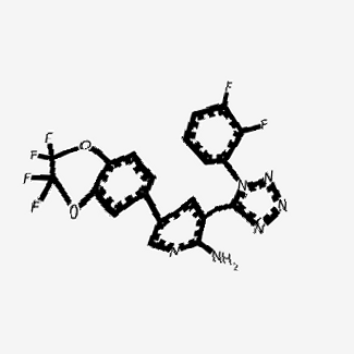 Nc1ncc(-c2ccc3c(c2)OC(F)(F)C(F)(F)O3)cc1-c1nnnn1-c1cccc(F)c1F